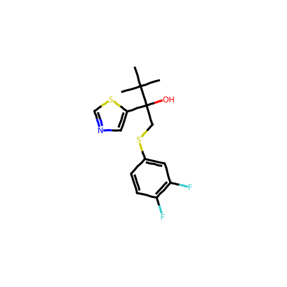 CC(C)(C)C(O)(CSc1ccc(F)c(F)c1)c1cncs1